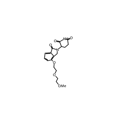 COCCOCCOc1cccc2c1CN(C1CCC(=O)NC1=O)C2=O